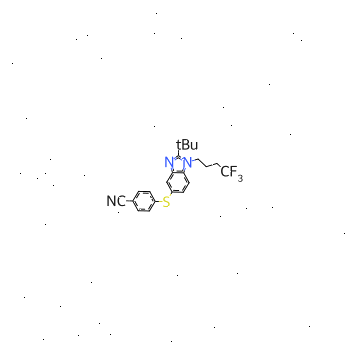 CC(C)(C)c1nc2cc(Sc3ccc(C#N)cc3)ccc2n1CCCC(F)(F)F